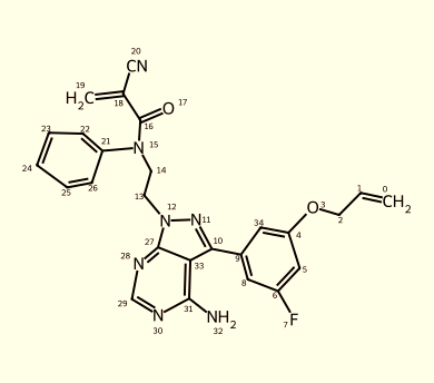 C=CCOc1cc(F)cc(-c2nn(CCN(C(=O)C(=C)C#N)c3ccccc3)c3ncnc(N)c23)c1